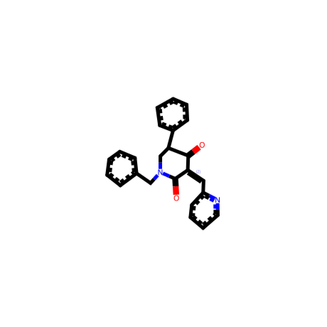 O=C1/C(=C/c2ccccn2)C(=O)N(Cc2ccccc2)CC1c1ccccc1